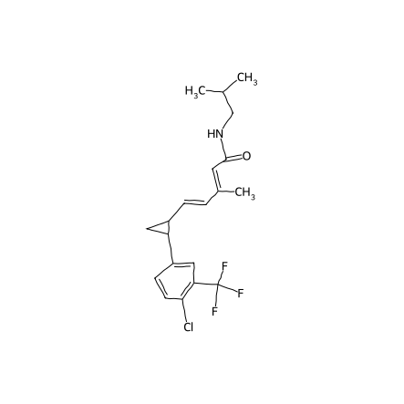 CC(C=CC1CC1c1ccc(Cl)c(C(F)(F)F)c1)=CC(=O)NCC(C)C